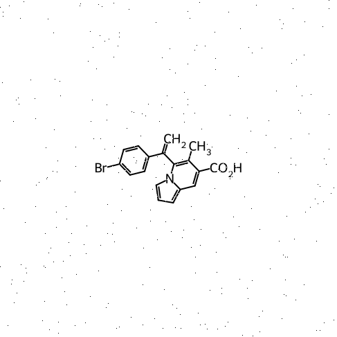 C=C(c1ccc(Br)cc1)c1c(C)c(C(=O)O)cc2cccn12